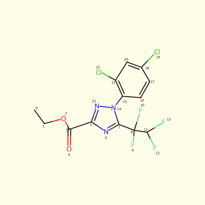 CCOC(=O)c1nc(C(F)(F)C(F)F)n(-c2ccc(Cl)cc2Cl)n1